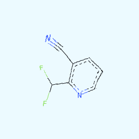 N#Cc1cc[c]nc1C(F)F